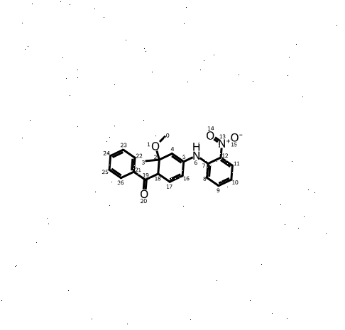 COC1(C)C=C(Nc2ccccc2[N+](=O)[O-])C=CC1C(=O)c1ccccc1